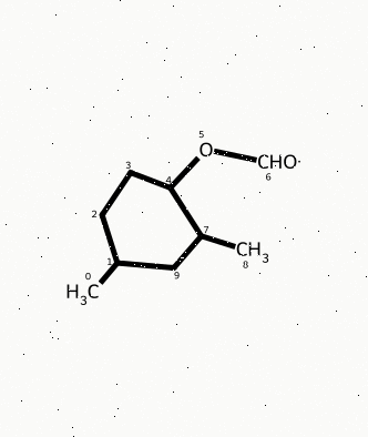 CC1CCC(O[C]=O)C(C)C1